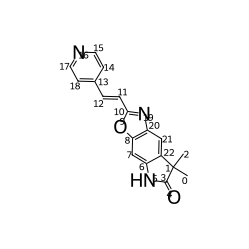 CC1(C)C(=O)Nc2cc3oc(/C=C/c4ccncc4)nc3cc21